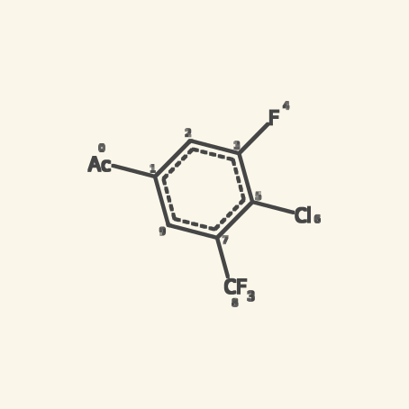 CC(=O)c1cc(F)c(Cl)c(C(F)(F)F)c1